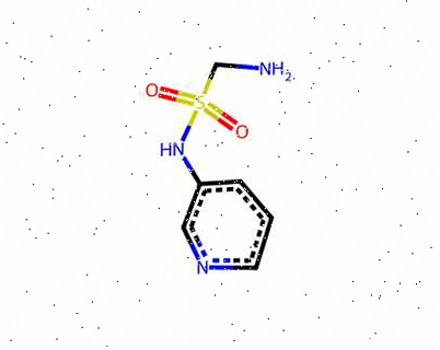 NCS(=O)(=O)Nc1cccnc1